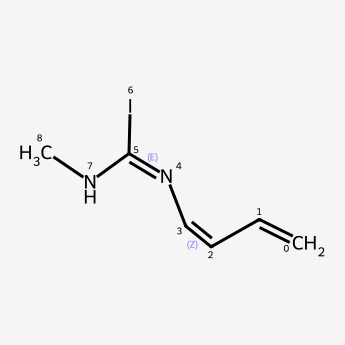 C=C/C=C\N=C(\I)NC